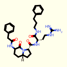 N=C(N)NCC[C@H](NC(=O)[C@@H]1CC[C@@H]2CCC(NC(=O)Cc3ccccc3)C(=O)N21)C(=O)NCCCc1ccccc1